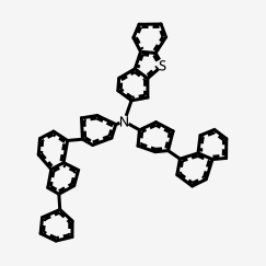 c1ccc(-c2ccc3c(-c4ccc(N(c5ccc(-c6cccc7ccccc67)cc5)c5ccc6c(c5)sc5ccccc56)cc4)cccc3c2)cc1